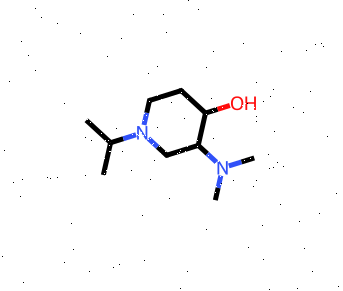 CC(C)N1CCC(O)C(N(C)C)C1